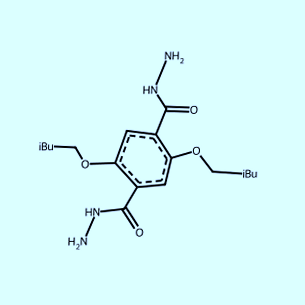 CCC(C)COc1cc(C(=O)NN)c(OCC(C)CC)cc1C(=O)NN